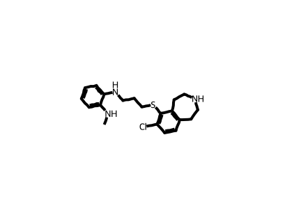 CNc1ccccc1NCCCSc1c(Cl)ccc2c1CCNCC2